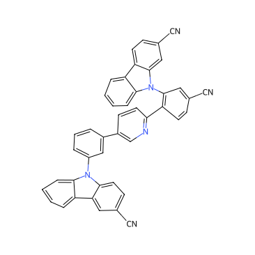 N#Cc1ccc(-c2ccc(-c3cccc(-n4c5ccccc5c5cc(C#N)ccc54)c3)cn2)c(-n2c3ccccc3c3ccc(C#N)cc32)c1